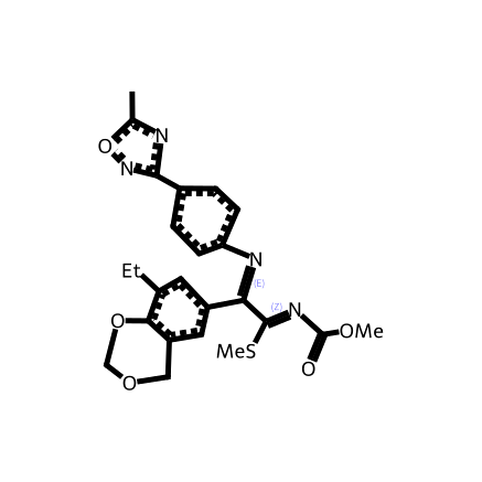 CCc1cc(C(=N\c2ccc(-c3noc(C)n3)cc2)/C(=N/C(=O)OC)SC)cc2c1OCOC2